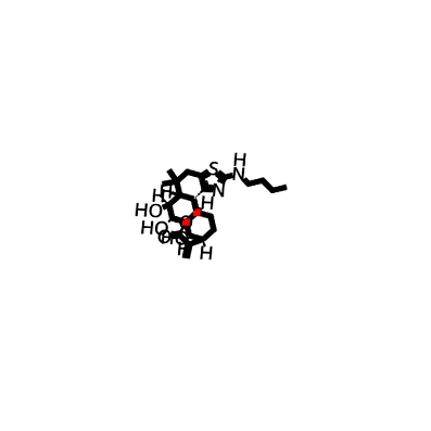 C=C1C(=O)[C@]23[C@H](O)[C@H]1CC[C@H]2[C@@]12CO[C@@]3(O)[C@@H](O)[C@@H]1C(C)(C)Cc1sc(NCCCC)nc12